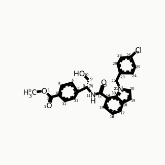 COC(=O)c1ccc([C@H](CO)NC(=O)c2cccc3ccn(Cc4ccc(Cl)cc4)c23)cc1